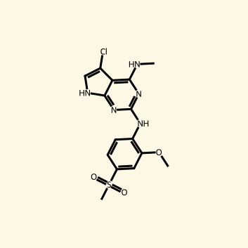 CNc1nc(Nc2ccc(S(C)(=O)=O)cc2OC)nc2[nH]cc(Cl)c12